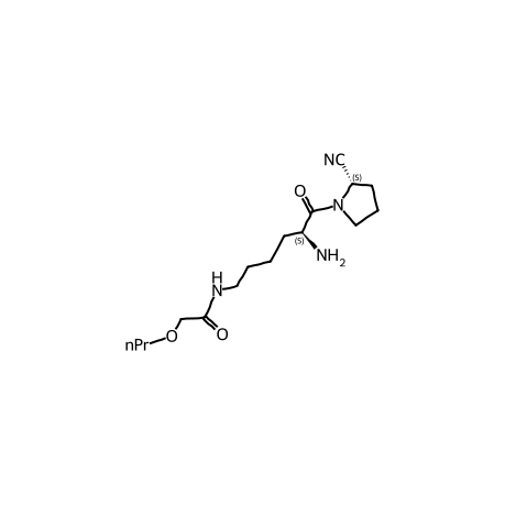 CCCOCC(=O)NCCCC[C@H](N)C(=O)N1CCC[C@H]1C#N